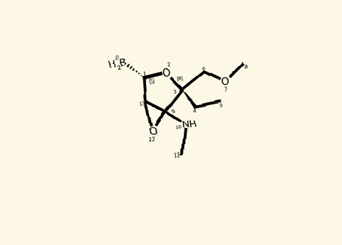 B[C@@H]1O[C@](CC)(COC)C2(NC)OC12